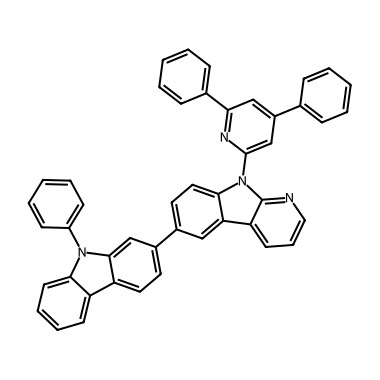 c1ccc(-c2cc(-c3ccccc3)nc(-n3c4ccc(-c5ccc6c7ccccc7n(-c7ccccc7)c6c5)cc4c4cccnc43)c2)cc1